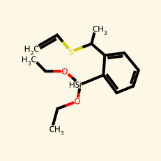 C=CSC(C)c1ccccc1[SiH](OCC)OCC